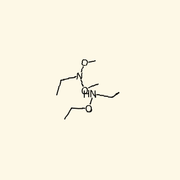 CCN(OC)OC.CCNOCC